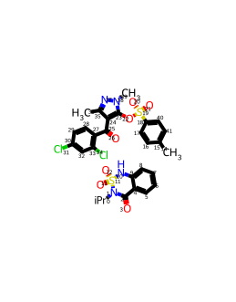 CC(C)N1C(=O)c2ccccc2NS1(=O)=O.Cc1ccc(S(=O)(=O)Oc2c(C(=O)c3ccc(Cl)cc3Cl)c(C)nn2C)cc1